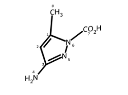 Cc1cc(N)nn1C(=O)O